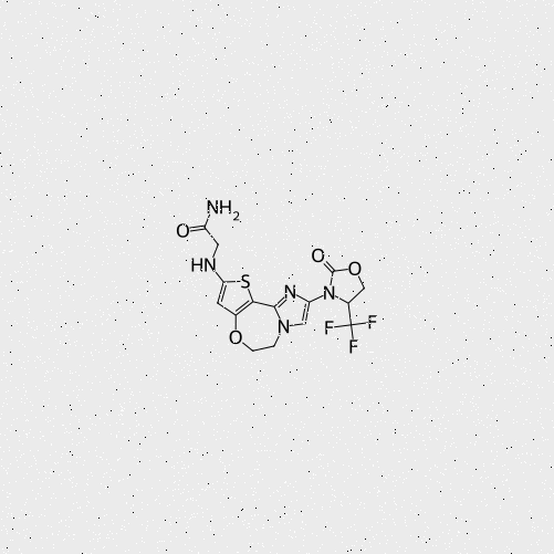 NC(=O)CNc1cc2c(s1)-c1nc(N3C(=O)OCC3C(F)(F)F)cn1CCO2